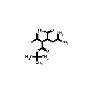 CC(C)CC(C(=O)O)C(C(=O)O)C(=O)OC(C)(C)C